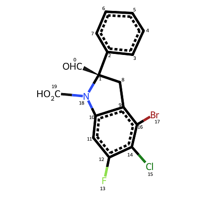 O=C[C@@]1(c2ccccc2)Cc2c(cc(F)c(Cl)c2Br)N1C(=O)O